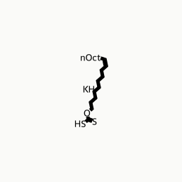 CCCCCCCC/C=C\CCCCCCCCOC(=S)S.[KH]